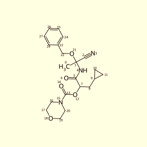 CC(C#N)(NC(=O)C(CC1CC1)OC(=O)N1CCOCC1)OCc1ccccc1